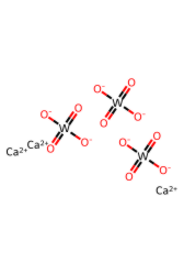 [Ca+2].[Ca+2].[Ca+2].[O]=[W](=[O])([O-])[O-].[O]=[W](=[O])([O-])[O-].[O]=[W](=[O])([O-])[O-]